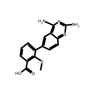 CSc1c(C(=O)O)cccc1-c1ccc2nc(N)nc(N)c2c1